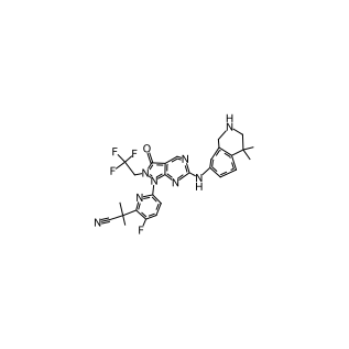 CC(C)(C#N)c1nc(-n2c3nc(Nc4ccc5c(c4)CNCC5(C)C)ncc3c(=O)n2CC(F)(F)F)ccc1F